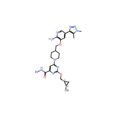 CCNC(=O)c1cc(N2CCC(COc3cc(-c4nnn(C)c4C)cnc3N)CC2)nc(OC[C@H]2C[C@H]2C#N)n1